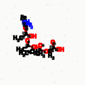 C=C.CC(=O)O.CC(=O)O.CC(=O)O.CC(=O)O.N.N.[Fe]